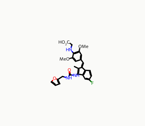 COc1cc(C=C2C(C)=C(NC(=O)NCc3ccco3)c3cc(F)ccc32)cc(OC)c1NCC(=O)O